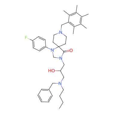 CCCCN(Cc1ccccc1)CC(O)CN1CN(c2ccc(F)cc2)C2(CCN(Cc3c(C)c(C)c(C)c(C)c3C)CC2)C1=O